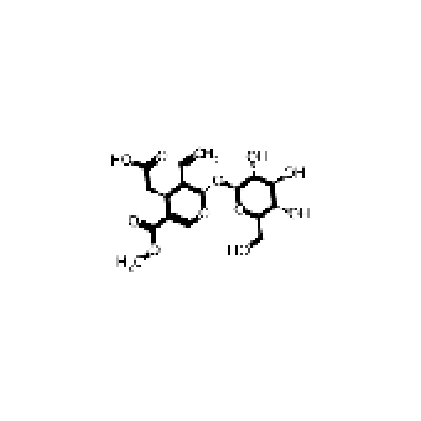 C=C[C@H]1[C@H](O[C@@H]2O[C@H](CO)[C@@H](O)[C@H](O)[C@H]2O)OC=C(C(=O)OC)[C@H]1CC(=O)O